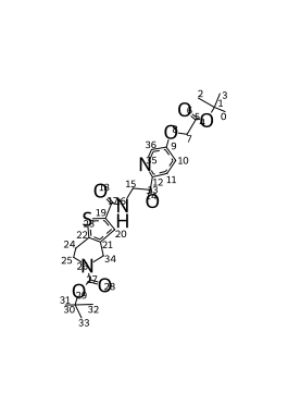 CC(C)(C)OC(=O)COc1ccc(C(=O)CNC(=O)c2cc3c(s2)CCN(C(=O)OC(C)(C)C)C3)nc1